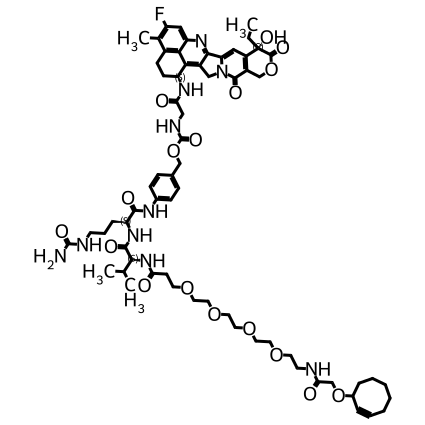 CC[C@@]1(O)C(=O)OCc2c1cc1n(c2=O)Cc2c-1nc1cc(F)c(C)c3c1c2[C@@H](NC(=O)CNC(=O)OCc1ccc(NC(=O)[C@H](CCCNC(N)=O)NC(=O)[C@@H](NC(=O)CCOCCOCCOCCOCCNC(=O)COC2C#CCCCCC2)C(C)C)cc1)CC3